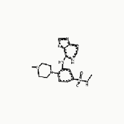 CNS(=O)(=O)c1ccc(N2CCN(C)CC2)c(Nc2[nH]cnc3ncnc2-3)c1